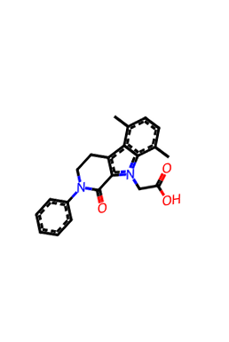 Cc1ccc(C)c2c1c1c(n2CC(=O)O)C(=O)N(c2ccccc2)CC1